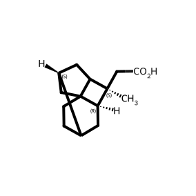 C[C@@]1(CC(=O)O)C2C[C@H]3CC24CCC3C[C@@H]41